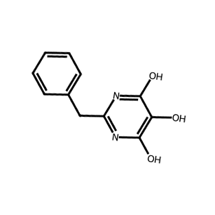 Oc1nc(Cc2ccccc2)nc(O)c1O